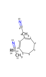 C1=C\CCCC\C=C/1.CC#N.CC#N.[Rh]